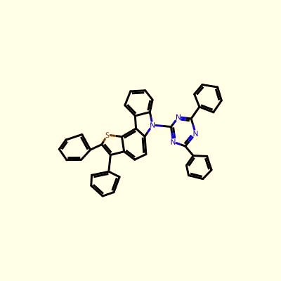 c1ccc(-c2nc(-c3ccccc3)nc(-n3c4ccccc4c4c5sc(-c6ccccc6)c(-c6ccccc6)c5ccc43)n2)cc1